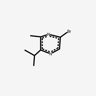 Cc1nc(Br)cnc1C(C)C